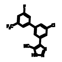 N#Cc1[nH]nnc1-c1cc(Cl)cc(-c2cc(F)cc(C(F)(F)F)c2)c1